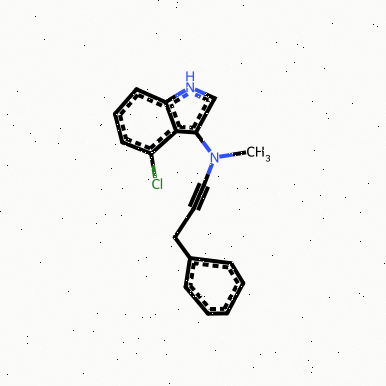 CN(C#CCc1ccccc1)c1c[nH]c2cccc(Cl)c12